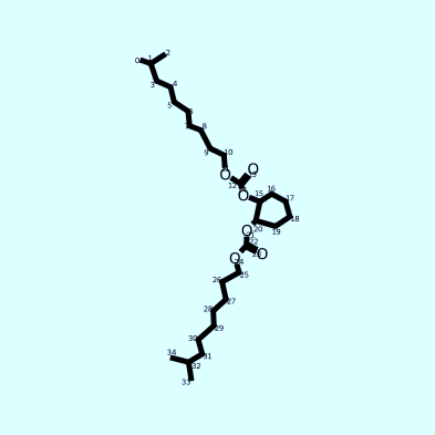 CC(C)CCCCCCCCOC(=O)OC1CCCCC1OC(=O)OCCCCCCCC(C)C